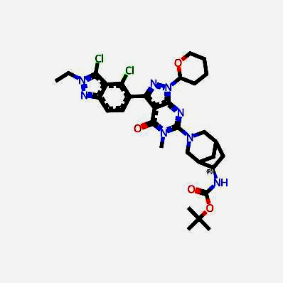 CCn1nc2ccc(-c3nn(C4CCCCO4)c4nc(N5CC6CC(C5)[C@H](NC(=O)OC(C)(C)C)C6)n(C)c(=O)c34)c(Cl)c2c1Cl